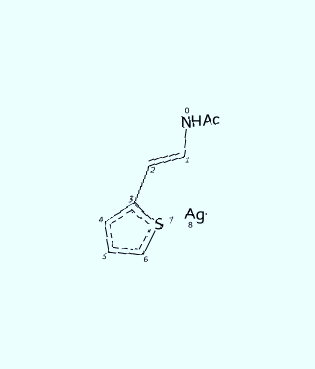 CC(=O)NC=Cc1cccs1.[Ag]